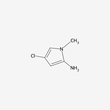 Cn1cc(Cl)cc1N